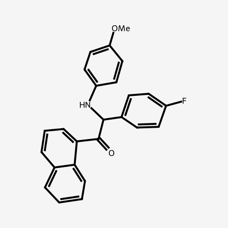 COc1ccc(NC(C(=O)c2cccc3ccccc23)c2ccc(F)cc2)cc1